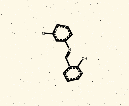 Oc1ccccc1C=Nc1cccc(Cl)c1